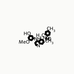 COc1cc(O)cc(Nc2ccnc3ccc(N=S(C)(=O)c4ccc(C)cc4C)cc23)c1